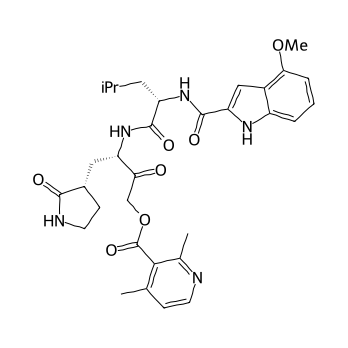 COc1cccc2[nH]c(C(=O)N[C@@H](CC(C)C)C(=O)N[C@@H](C[C@@H]3CCNC3=O)C(=O)COC(=O)c3c(C)ccnc3C)cc12